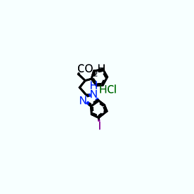 Cl.O=C(O)CC(Cc1nc2cc(I)ccc2[nH]1)c1ccccc1